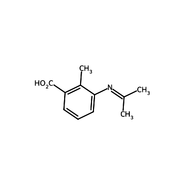 CC(C)=Nc1cccc(C(=O)O)c1C